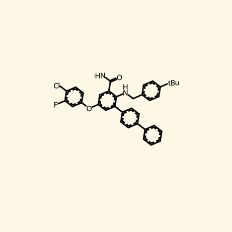 CC(C)(C)c1ccc(CNc2c(C([NH])=O)cc(Oc3ccc(Cl)c(F)c3)cc2-c2ccc(-c3ccccc3)cc2)cc1